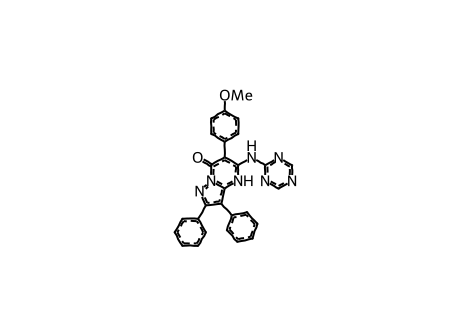 COc1ccc(-c2c(Nc3ncncn3)[nH]c3c(-c4ccccc4)c(-c4ccccc4)nn3c2=O)cc1